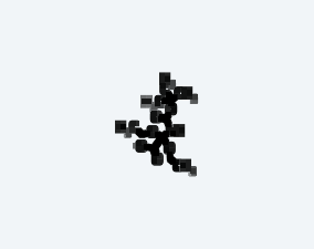 CCOC(NC(=O)OC(C)(C)C)(OCC)C([O])=O